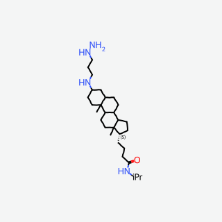 CC(C)NC(=O)CCC[C@H]1CCC2C3CCC4CC(NCCCNN)CCC4(C)C3CCC21C